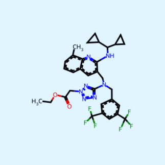 CCOC(=O)Cn1nnc(N(Cc2cc(C(F)(F)F)cc(C(F)(F)F)c2)Cc2cc3cccc(C)c3nc2NC(C2CC2)C2CC2)n1